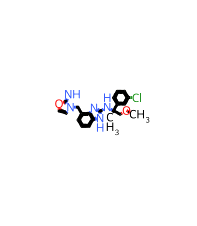 COCC(C)(Nc1nc2c(Cn3ccoc3=N)cccc2[nH]1)c1cccc(Cl)c1